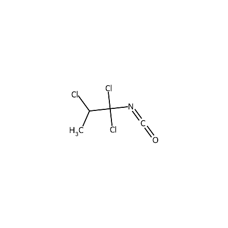 CC(Cl)C(Cl)(Cl)N=C=O